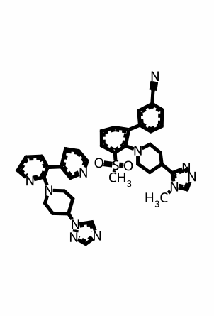 Cn1cnnc1C1CCN(c2c(-c3cccc(C#N)c3)cccc2S(C)(=O)=O)CC1.c1cncc(-c2cccnc2N2CCC(n3cncn3)CC2)c1